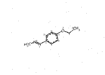 CCOc1ccc(/N=N/C)cc1